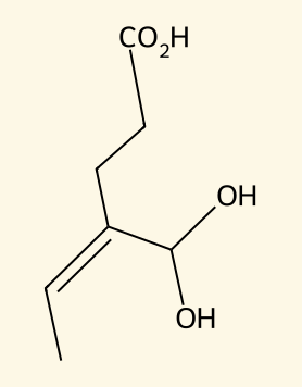 CC=C(CCC(=O)O)C(O)O